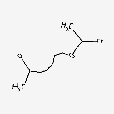 CCC(C)OCCC(C)[O]